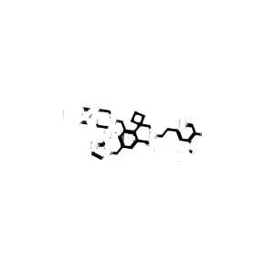 CCOc1cc(CCN2CC3(CCC3)c3c(CN4CCN(S(C)(=O)=O)CC4)cc(Cn4ccnc4NC)cc3C2=O)ncc1F